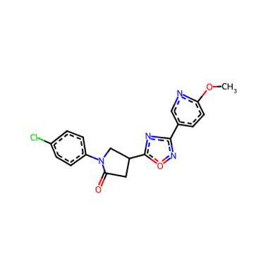 COc1ccc(-c2noc(C3CC(=O)N(c4ccc(Cl)cc4)C3)n2)cn1